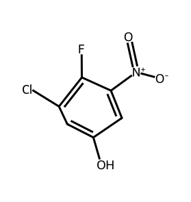 O=[N+]([O-])c1cc(O)cc(Cl)c1F